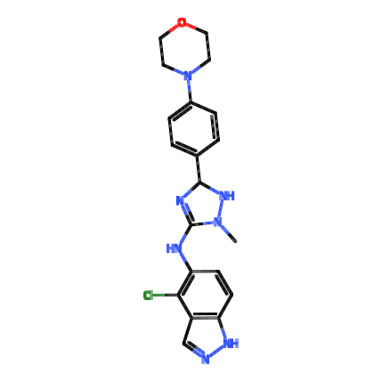 CN1NC(c2ccc(N3CCOCC3)cc2)N=C1Nc1ccc2[nH]ncc2c1Cl